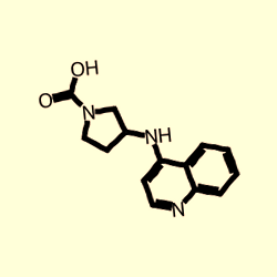 O=C(O)N1CCC(Nc2ccnc3ccccc23)C1